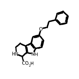 O=C(O)C1NCCc2c1[nH]c1ccc(OCCc3ccccc3)cc21